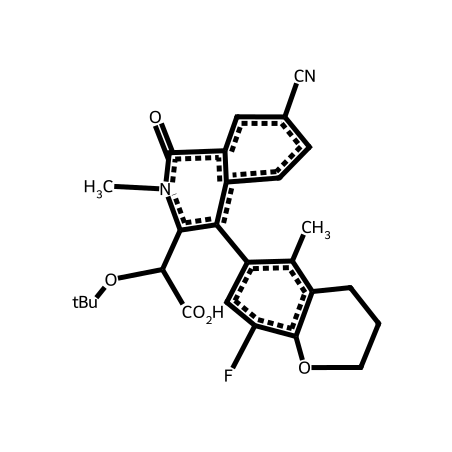 Cc1c(-c2c(C(OC(C)(C)C)C(=O)O)n(C)c(=O)c3cc(C#N)ccc23)cc(F)c2c1CCCO2